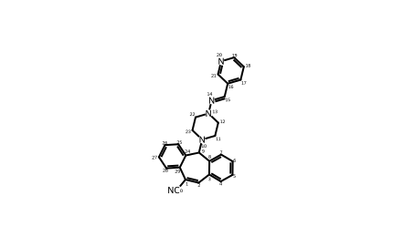 N#CC1=Cc2ccccc2C(N2CCN(N=Cc3cccnc3)CC2)c2ccccc21